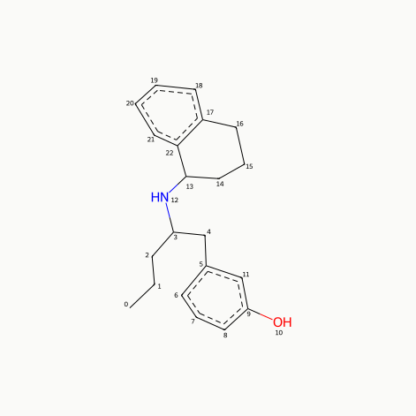 CCCC(Cc1cccc(O)c1)NC1CCCc2ccccc21